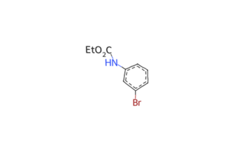 C[CH]OC(=O)Nc1cccc(Br)c1